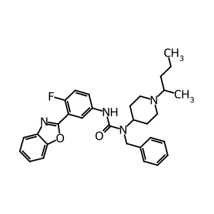 CCCC(C)N1CCC(N(Cc2ccccc2)C(=O)Nc2ccc(F)c(-c3nc4ccccc4o3)c2)CC1